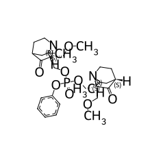 COC[C@]1(COP(=O)(OC[C@@]2(COC)C(=O)[C@H]3CCN2[C@H](C)C3)Oc2ccccc2)C(=O)C2CCN1[C@H](C)C2